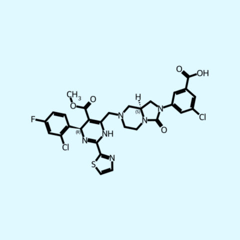 COC(=O)C1=C(CN2CCN3C(=O)N(c4cc(Cl)cc(C(=O)O)c4)C[C@@H]3C2)NC(c2nccs2)=N[C@H]1c1ccc(F)cc1Cl